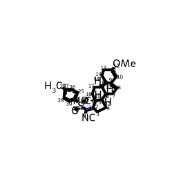 [C-]#[N+]/C(=C1\CC[C@H]2[C@@H]3CC=C4C=C(OC)CC[C@@H]4[C@H]3CC[C@]12C)S(=O)(=O)c1ccc(C)cc1